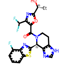 CC[C@@H](O)c1nc(C(F)F)c(C(=O)N2CCc3[nH]cnc3[C@H]2c2nc3c(F)cccc3s2)o1